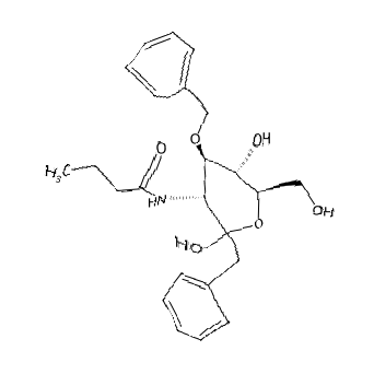 CCCC(=O)N[C@@H]1[C@@H](OCc2ccccc2)[C@H](O)[C@@H](CO)OC1(O)Cc1ccccc1